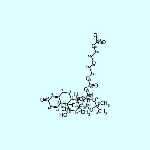 CC1(C)O[C@@H]2C[C@H]3C4CCC5=CC(=O)C=C[C@]5(C)[C@@]4(F)[C@@H](O)C[C@]3(C)[C@]2(C(=O)COC(=O)OCCOCCO[N+](=O)[O-])O1